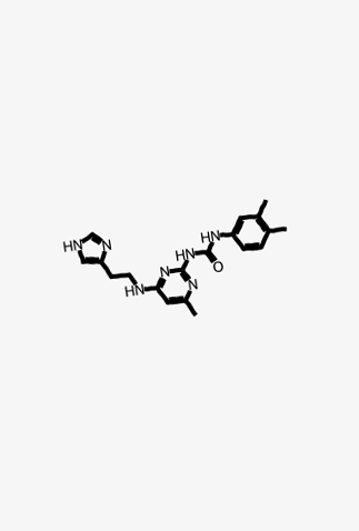 Cc1cc(NCCc2c[nH]cn2)nc(NC(=O)Nc2ccc(C)c(C)c2)n1